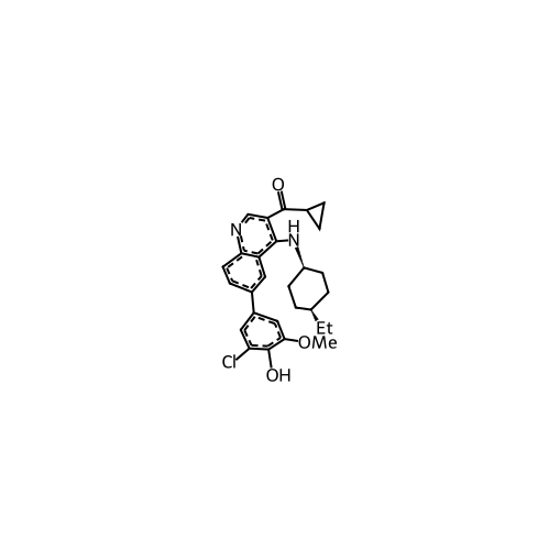 CC[C@H]1CC[C@@H](Nc2c(C(=O)C3CC3)cnc3ccc(-c4cc(Cl)c(O)c(OC)c4)cc23)CC1